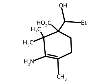 CCC(O)C1(C(=O)O)CCC(C)=C(N)C1(C)C